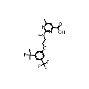 Cc1cc(C(=O)O)nc(N(C)CCOc2cc(C(F)(F)F)cc(C(F)(F)F)c2)n1